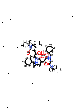 CN(C)C(=O)CN(CC1(O)CCCCC1)C(=O)C[C@@H](CC1CC1)C(=O)N[C@@H](CC1CCCCC1)[C@@H](O)[C@@H]1CC(C)(C)N(C)C1=O